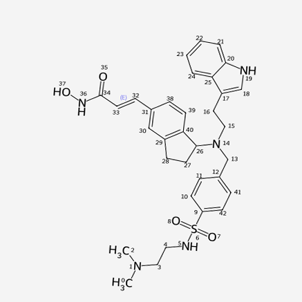 CN(C)CCNS(=O)(=O)c1ccc(CN(CCc2c[nH]c3ccccc23)C2CCc3cc(/C=C/C(=O)NO)ccc32)cc1